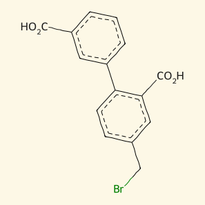 O=C(O)c1cccc(-c2ccc(CBr)cc2C(=O)O)c1